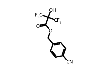 N#Cc1ccc(COC(=O)C(O)(C(F)(F)F)C(F)(F)F)cc1